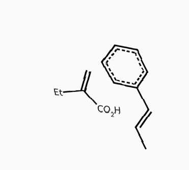 C=C(CC)C(=O)O.CC=Cc1ccccc1